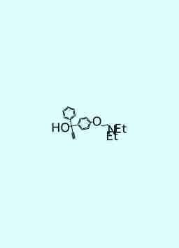 C#CC(O)(c1ccccc1)c1ccc(OCCN(CC)CC)cc1